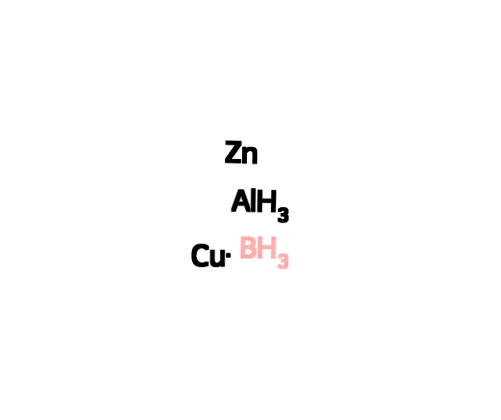 B.[AlH3].[Cu].[Zn]